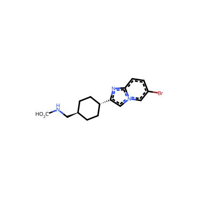 O=C(O)NC[C@H]1CC[C@H](c2cn3cc(Br)ccc3n2)CC1